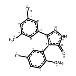 COc1ccc(Cl)cc1-n1c(-c2cc(C(F)(F)F)cc(C(F)(F)F)c2)n[nH]c1=O